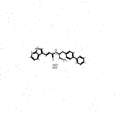 Cl.Cl.NC[C@H](Cc1ccc(-c2ccccc2)cc1)NC(=O)/C=C/c1c[nH]c2ncccc12